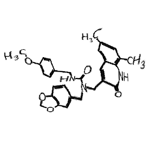 COc1ccc(CNC(=O)N(Cc2ccc3c(c2)OCO3)Cc2cc3cc(C)cc(C)c3[nH]c2=O)cc1